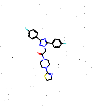 O=C(Cn1nc(-c2ccc(F)cc2)nc1-c1ccc(F)cc1)N1CCN(C2=NCCS2)CC1